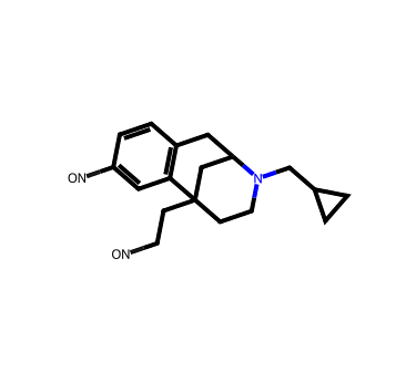 O=NCCC12CCN(CC3CC3)C(Cc3ccc(N=O)cc31)C2